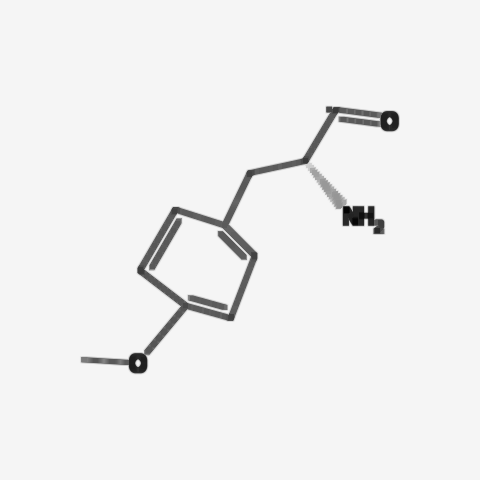 COc1ccc(C[C@@H](N)[C]=O)cc1